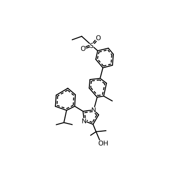 CCS(=O)(=O)c1cccc(-c2ccc(-n3cc(C(C)(C)O)nc3-c3ccccc3C(C)C)c(C)c2)c1